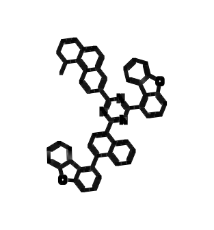 CC1CC=Cc2ccc3cc(-c4nc(-c5ccc(-c6cccc7oc8ccccc8c67)c6ccccc56)nc(-c5cccc6oc7ccccc7c56)n4)ccc3c21